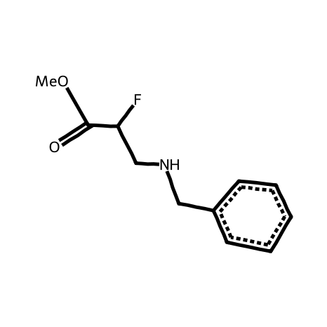 COC(=O)C(F)CNCc1ccccc1